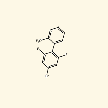 Fc1cc(Br)cc(F)c1-c1cc[c]cc1C(F)(F)F